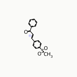 CS(=O)(=O)c1ccc(/C=C/C(=O)c2ccccc2)cc1